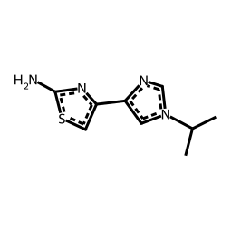 CC(C)n1cnc(-c2csc(N)n2)c1